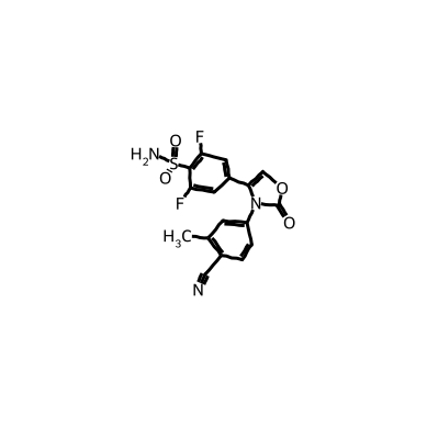 Cc1cc(-n2c(-c3cc(F)c(S(N)(=O)=O)c(F)c3)coc2=O)ccc1C#N